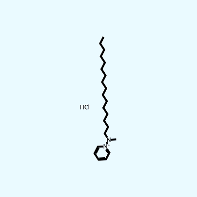 CCCCCCCCCCCCCCCCN(C)[n+]1ccccc1.Cl